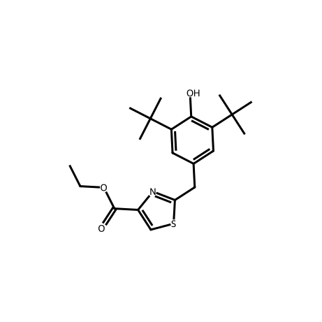 CCOC(=O)c1csc(Cc2cc(C(C)(C)C)c(O)c(C(C)(C)C)c2)n1